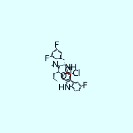 C=N/C(=C(\C=C/C)c1cccc(Cl)c1Cl)[C@H](Cc1cc(F)cc(F)c1)NC(=O)Cc1c[nH]c2ccc(F)cc12